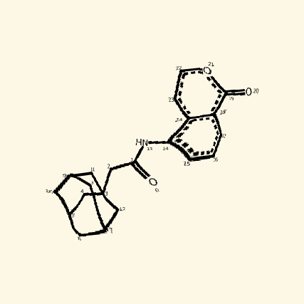 O=C(CC12CC3CC(CC(C3)C1)C2)Nc1cccc2c(=O)occc12